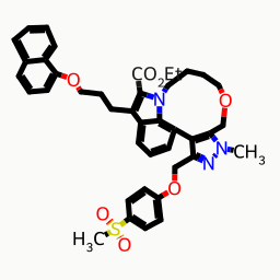 CCOC(=O)c1c(CCCOc2cccc3ccccc23)c2cccc3c2n1CCCCOCc1c-3c(COc2ccc(S(C)(=O)=O)cc2)nn1C